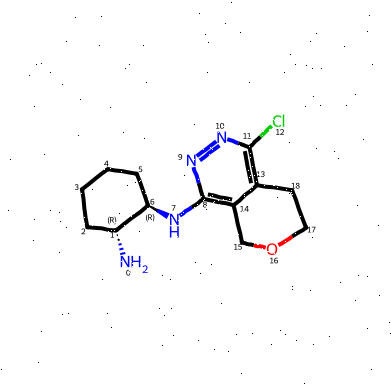 N[C@@H]1CCCC[C@H]1Nc1nnc(Cl)c2c1COCC2